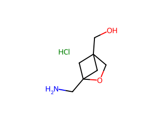 Cl.NCC12CC(CO)(CO1)C2